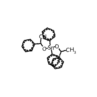 CC([O][Sn]([O]C(C)c1ccccc1)([c]1ccccc1)[c]1ccccc1)c1ccccc1